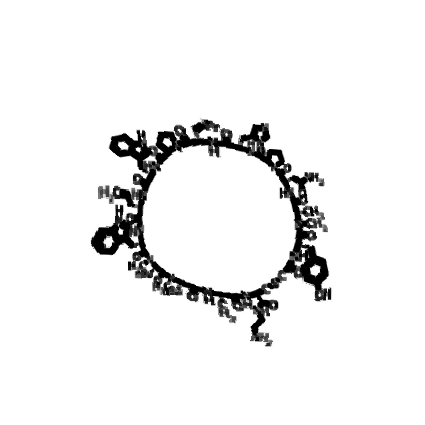 C=CC[C@@H]1NC(=O)[C@H](Cc2c[nH]c3ccccc23)NC(=O)C2CCCN2C(=O)[C@H](CC(C)C)NC(=O)[C@H](Cc2cnc[nH]2)NC(=O)[C@@H]2CCCN2C(=O)[C@H](CC(N)=O)NC(=O)[C@H](C)N(C)C(=O)[C@H](Cc2ccc(O)cc2)NC(=O)CSC[C@@H](C(=O)NCCN)NC(=O)[C@H](C)NC(=O)[C@H](CCCC)N(C)C(=O)[C@H](CCCC)N(C)C(=O)[C@H](Cc2c[nH]c3ccccc23)NC1=O